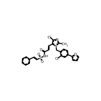 Cc1nc(Cl)c(C=CC(=O)NS(=O)(=O)C=Cc2ccccc2)n1Cc1ccc(-c2ccco2)cc1Cl